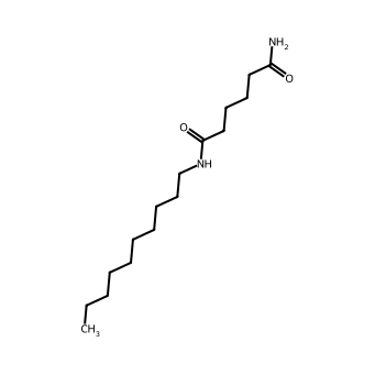 CCCCCCCCCCNC(=O)CCCCC(N)=O